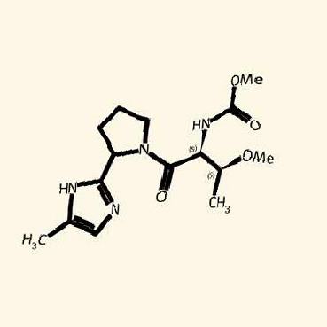 COC(=O)N[C@H](C(=O)N1CCCC1c1ncc(C)[nH]1)[C@H](C)OC